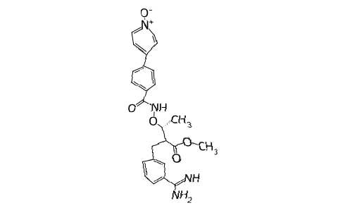 COC(=O)C(Cc1cccc(C(=N)N)c1)[C@@H](C)ONC(=O)c1ccc(-c2cc[n+]([O-])cc2)cc1